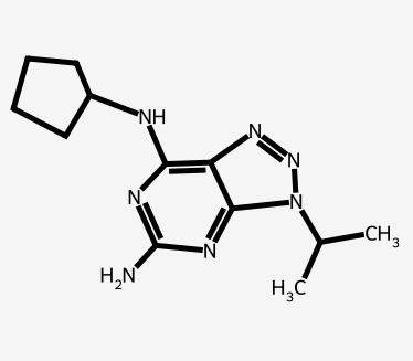 CC(C)n1nnc2c(NC3CCCC3)nc(N)nc21